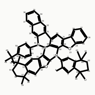 Cc1cc2c(cc1N1c3oc4cc5c(cc4c3B3c4c(cc6c(oc7ccccc76)c41)-c1cc4ccccc4cc1N3c1ccc(C(C)(C)C)cc1)C(C)(C)CCC5(C)C)C(C)(C)CCC2(C)C